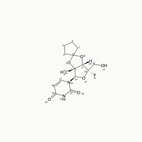 C[C@@]12OC3(CCCC3)O[C@@H]1[C@@](F)(CO)O[C@H]2n1ccc(=O)[nH]c1=O